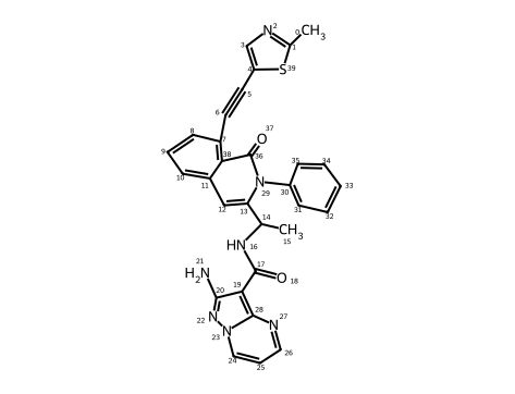 Cc1ncc(C#Cc2cccc3cc(C(C)NC(=O)c4c(N)nn5cccnc45)n(-c4ccccc4)c(=O)c23)s1